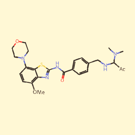 COc1ccc(N2CCOCC2)c2sc(NC(=O)c3ccc(CNC(C(C)=O)N(C)C)cc3)nc12